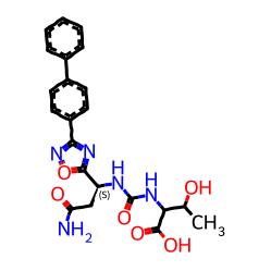 CC(O)C(NC(=O)N[C@@H](CC(N)=O)c1nc(-c2ccc(-c3ccccc3)cc2)no1)C(=O)O